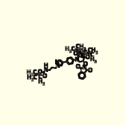 CC(C)(C)OC(=O)NCCCn1cc(-c2ccc(N(CC(ON3C(=O)c4ccccc4C3=O)C(=O)OC(C)(C)C)C(=O)OC(C)(C)C)cc2)cn1